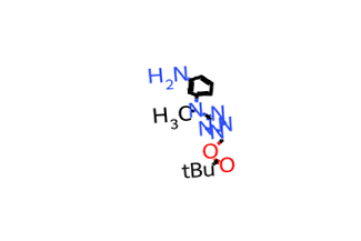 CN(c1cccc(N)c1)c1nnn(COC(=O)C(C)(C)C)n1